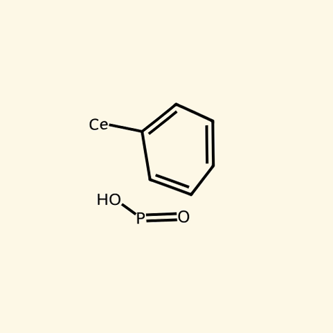 O=PO.[Ce][c]1ccccc1